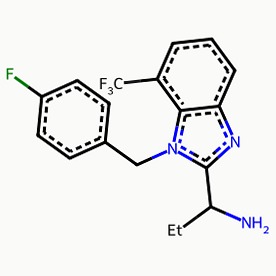 CCC(N)c1nc2cccc(C(F)(F)F)c2n1Cc1ccc(F)cc1